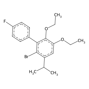 CCOc1cc(C(C)C)c(Br)c(-c2ccc(F)cc2)c1OCC